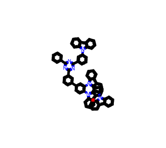 c1ccc(-c2nc(-c3cccc(-c4ccc(-n5c6ccccc6c6ccccc65)c(-n5c6ccccc6c6ccc(-n7c8ccccc8c8ccccc87)cc65)c4)c3)nc(-c3cccc(-n4c5ccccc5c5ccccc54)c3)n2)cc1